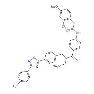 COc1ccc(CC(=O)Nc2ccc(C(=O)N(CC(=O)O)Cc3ccc(-c4nc(-c5ccc(C(F)(F)F)cc5)no4)cc3)cc2)c(C(F)(F)F)c1